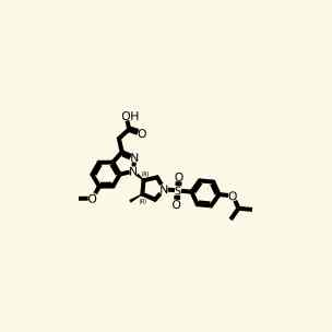 COc1ccc2c(CC(=O)O)nn([C@H]3CN(S(=O)(=O)c4ccc(OC(C)C)cc4)C[C@H]3C)c2c1